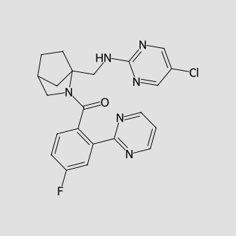 O=C(c1ccc(F)cc1-c1ncccn1)N1CC2CCC1(CNc1ncc(Cl)cn1)C2